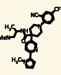 CNCC(C)NC(=O)C1(c2ccc(-c3cccn3C)nc2)CCN(c2ccc(C(F)(F)F)cc2C#N)CC1